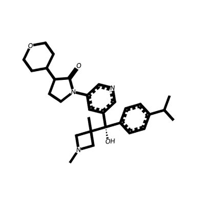 CC(C)c1ccc([C@](O)(c2cncc(N3CCC(C4CCOCC4)C3=O)c2)C2(C)CN(C)C2)cc1